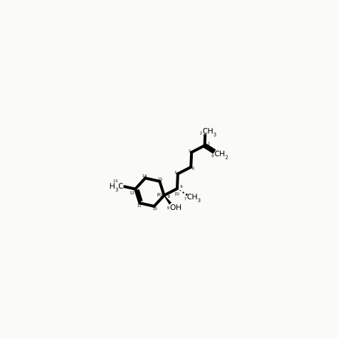 C=C(C)CCC[C@H](C)[C@]1(O)CC=C(C)CC1